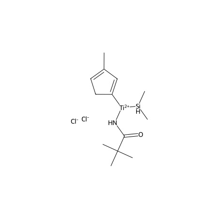 CC1=CC[C]([Ti+2]([NH]C(=O)C(C)(C)C)[SiH](C)C)=C1.[Cl-].[Cl-]